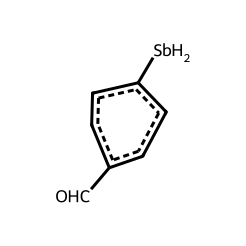 O=Cc1cc[c]([SbH2])cc1